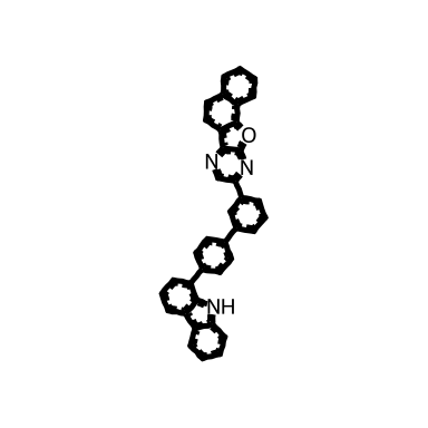 c1cc(-c2ccc(-c3cccc4c3[nH]c3ccccc34)cc2)cc(-c2cnc3c(n2)oc2c4ccccc4ccc32)c1